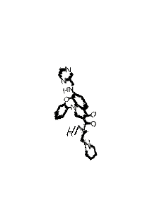 O=C(NCCN1CCCC1)c1cn2c3c(c(NCc4cnccn4)ccc3c1=O)Oc1ccccc1-2